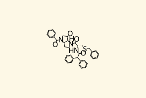 O=C(N[C@@H](CSCc1ccccc1)C(=O)N1CCC2[C@H]1C(=O)CN2C(=O)c1ccccc1)C(c1ccccc1)c1ccccc1